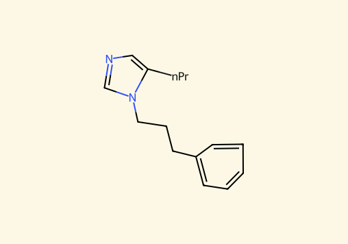 [CH2]CCc1cncn1CCCc1ccccc1